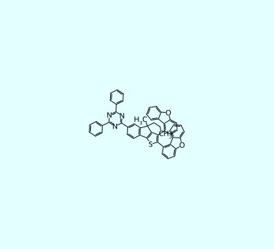 CCCC1(C)c2cc(-c3nc(-c4ccccc4)nc(-c4ccccc4)n3)ccc2-c2sc(-c3cccc4oc5ccccc5c34)c(-c3cccc4oc5ccccc5c34)c21